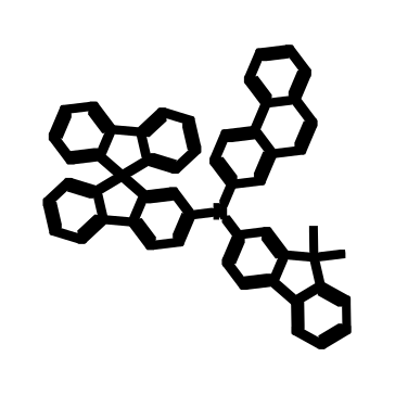 CC1(C)c2ccccc2-c2ccc(N(c3ccc4c(c3)C3(c5ccccc5-c5ccccc53)c3ccccc3-4)c3ccc4c(ccc5ccccc54)c3)cc21